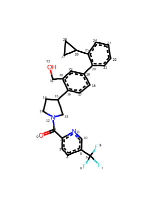 O=C(c1ccc(C(F)(F)F)cn1)N1CCC(c2ccc(-c3ccccc3C3CC3)cc2CO)C1